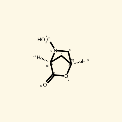 O=C1O[C@H]2C[C@@H]1N(C(=O)O)C2